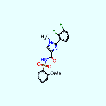 COc1ccccc1S(=O)(=O)NC(=O)c1cn(C)c(-c2cccc(F)c2F)n1